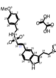 COc1ccc(CNS(=O)(=O)/C=C/c2ccc3[nH]cc(CCN(C)C)c3c2)cc1.O=C(O)C(=O)O